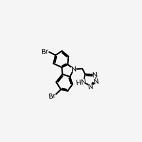 Brc1ccc2c(c1)c1cc(Br)ccc1n2Cc1nnn[nH]1